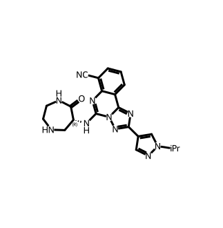 CC(C)n1cc(-c2nc3c4cccc(C#N)c4nc(N[C@@H]4CNCCNC4=O)n3n2)cn1